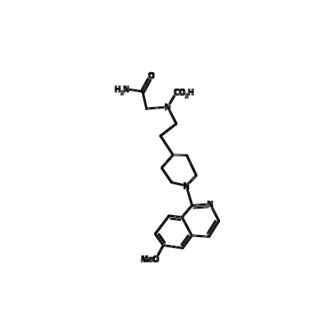 COc1ccc2c(N3CCC(CCN(CC(N)=O)C(=O)O)CC3)nccc2c1